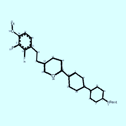 CCCCCC1CCC(C2CCC(C3CCC(CCc4ccc(OCC)c(F)c4F)CO3)CC2)CC1